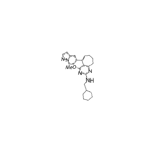 COc1nc(NCC2CCCCC2)nc2c1C(c1ccn3nccc3c1)=CCCC2